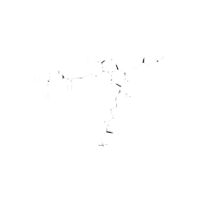 CC(C)(C)OC(=O)CC[C@H](NC(=O)[C@@H](N)CCCCNC(=O)OC(C)(C)C)C(=O)N[C@@H](CCCCNC(=O)OC(C)(C)C)C(=O)O